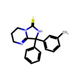 Cc1cccc(C2(c3ccccc3)NC(=S)N3CCCN=C32)c1